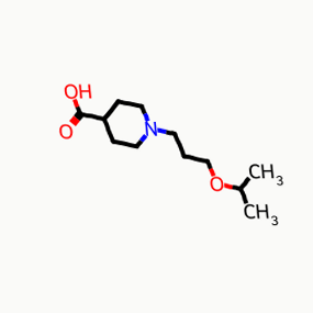 CC(C)OCCCN1CCC(C(=O)O)CC1